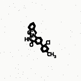 Cc1ccc(-c2ccc3c(c2)C(=O)N[S+]([O-])N3Cc2ccccc2)c(Cl)c1